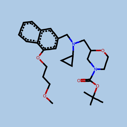 COCCCOc1cc(CN(CC2CN(C(=O)OC(C)(C)C)CCO2)C2CC2)cc2ccccc12